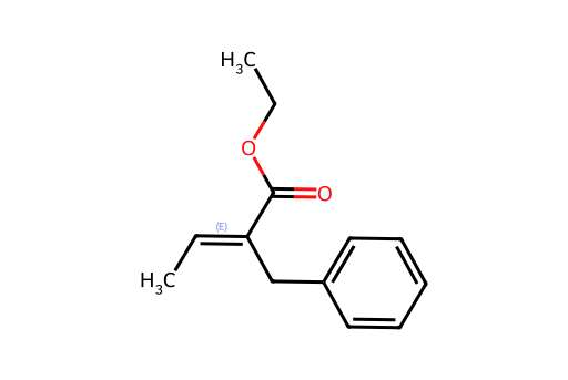 C/C=C(\Cc1ccccc1)C(=O)OCC